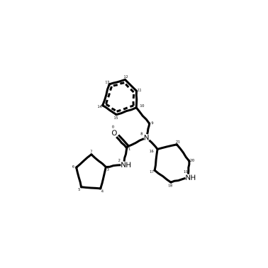 O=C(NC1CCCC1)N(Cc1ccccc1)C1CCNCC1